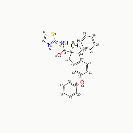 CC1(C(=O)Nc2nccs2)Cc2cc(Oc3ccccc3)ccc2C1c1ccccc1